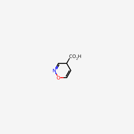 O=C(O)C1C=CON=C1